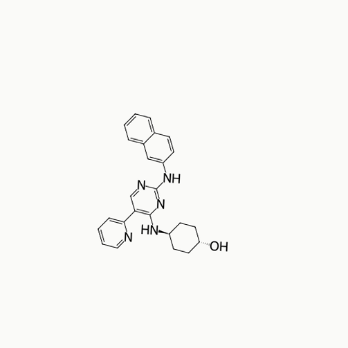 O[C@H]1CC[C@H](Nc2nc(Nc3ccc4ccccc4c3)ncc2-c2ccccn2)CC1